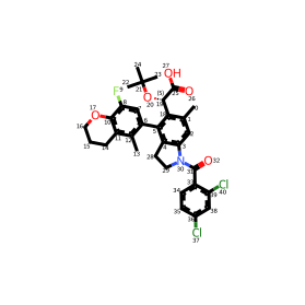 Cc1cc2c(c(-c3cc(F)c4c(c3C)CCCO4)c1[C@H](OC(C)(C)C)C(=O)O)CCN2C(=O)c1ccc(Cl)cc1Cl